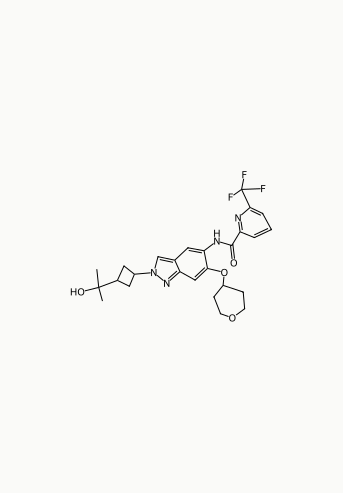 CC(C)(O)C1CC(n2cc3cc(NC(=O)c4cccc(C(F)(F)F)n4)c(OC4CCOCC4)cc3n2)C1